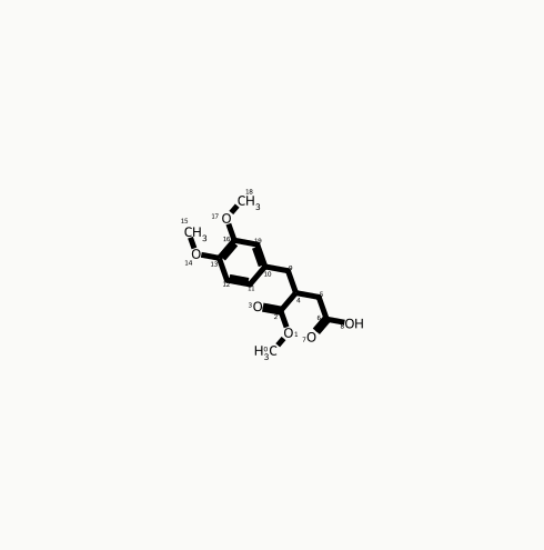 COC(=O)C(CC(=O)O)Cc1ccc(OC)c(OC)c1